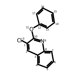 Clc1cc2ccccc2nc1Oc1ccccc1